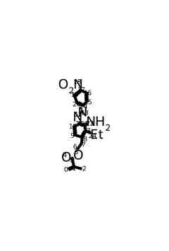 C=C(C)C(=O)OCCc1ccc(N=Nc2ccc([N+](=O)[O-])cc2)c(N)c1CC